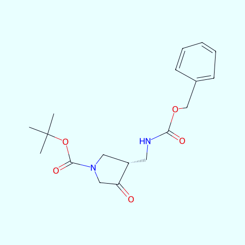 CC(C)(C)OC(=O)N1CC(=O)[C@@H](CNC(=O)OCc2ccccc2)C1